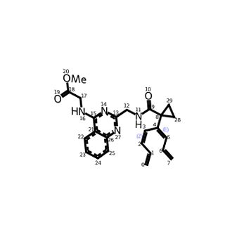 C=C/C=C\C(=C/C=C)C1(C(=O)NCc2nc(NCC(=O)OC)c3ccccc3n2)CC1